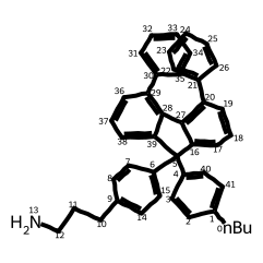 CCCCc1ccc(C2(c3ccc(CCCN)cc3)c3cccc(-c4ccccc4)c3-c3c(-c4ccccc4)cccc32)cc1